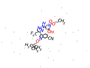 C=CCOC(=O)N1C[C@H](O)C[C@H](Nc2ncc(C(F)(F)F)c(-c3cn(COCC[Si](C)(C)C)c4cc(C#N)ccc34)n2)C1